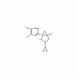 Clc1ccc([C@@]23C[C@@H]2CC(C2CC2)N3)cc1Cl